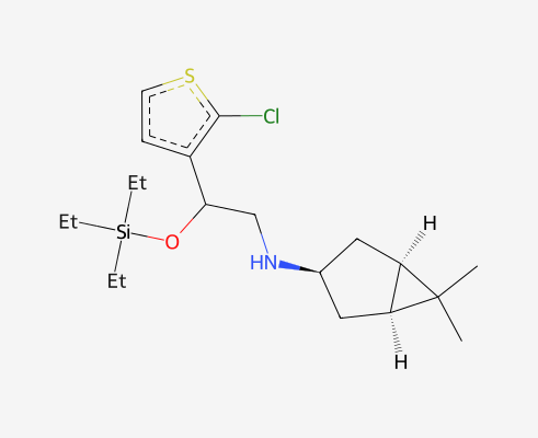 CC[Si](CC)(CC)OC(CN[C@H]1C[C@@H]2[C@H](C1)C2(C)C)c1ccsc1Cl